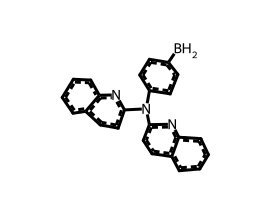 Bc1ccc(N(c2ccc3ccccc3n2)c2ccc3ccccc3n2)cc1